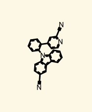 N#Cc1ccc2c(c1)c1ccccc1n2-c1ccccc1-c1ccnc(C#N)c1